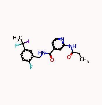 CCC(=O)Nc1cc(C(=O)NCc2cc(C(C)(F)I)ccc2F)ccn1